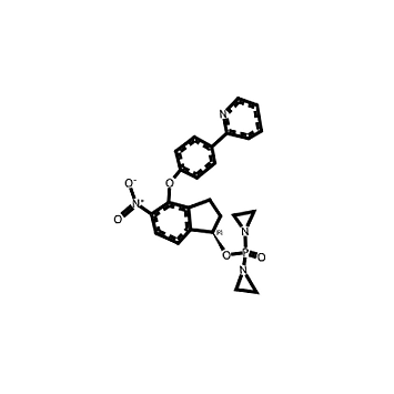 O=[N+]([O-])c1ccc2c(c1Oc1ccc(-c3ccccn3)cc1)CC[C@H]2OP(=O)(N1CC1)N1CC1